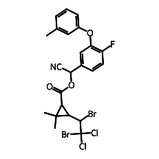 Cc1cccc(Oc2cc(C(C#N)OC(=O)C3C(C(Br)C(Cl)(Cl)Br)C3(C)C)ccc2F)c1